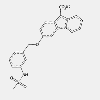 CCOC(=O)c1c2ccc(OCc3cccc(NS(C)(=O)=O)c3)cc2n2ccccc12